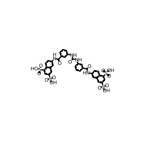 O=C(Nc1cccc(C(=O)Nc2ccc3c(S(=O)(=O)O)cc(S(=O)(=O)O)cc3c2)c1)Nc1cccc(C(=O)Nc2ccc3c(S(=O)(=O)O)cc(S(=O)(=O)O)cc3c2)c1